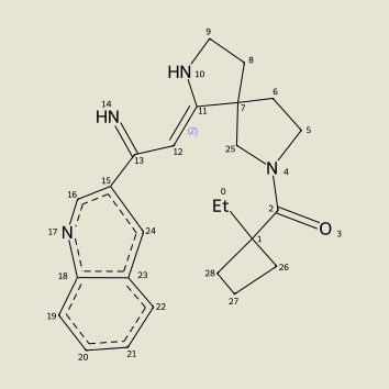 CCC1(C(=O)N2CCC3(CCN/C3=C\C(=N)c3cnc4ccccc4c3)C2)CCC1